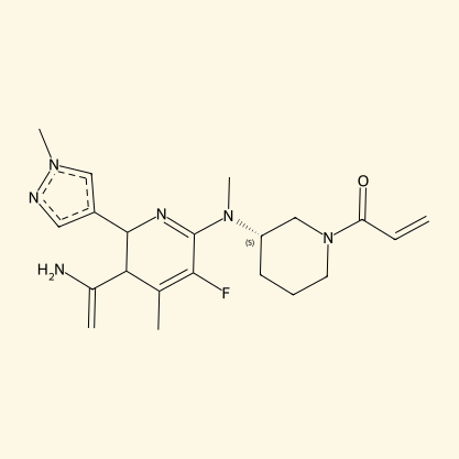 C=CC(=O)N1CCC[C@H](N(C)C2=NC(c3cnn(C)c3)C(C(=C)N)C(C)=C2F)C1